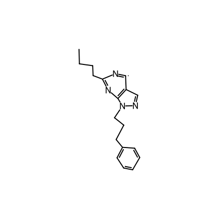 CCCCc1n[c]c2cnn(CCCc3ccccc3)c2n1